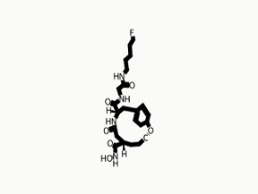 O=C(CNC(=O)[C@@H]1CC2=CCC(C=C2)OCCC[C@H](C(=O)NO)CC(=O)N1)NCCCCCF